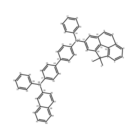 CC1(C)c2cccc3ccc4cc(N(c5ccccc5)c5ccc(-c6ccc(N(c7ccccc7)c7ccc8ccccc8c7)cc6)cc5)cc1c4c23